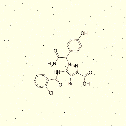 NC(=O)C(c1ccc(O)cc1)n1nc(C(=O)O)c(Br)c1NC(=O)c1ccccc1Cl